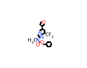 CN(C(=O)OCc1ccccc1)c1cn2cc(-c3ccoc3)cc(C(F)(F)F)c2n1